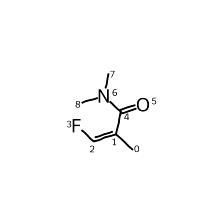 CC(=CF)C(=O)N(C)C